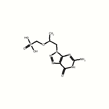 CC(Cn1nnc2c(=O)[nH]c(N)nc21)OCP(=O)(O)O